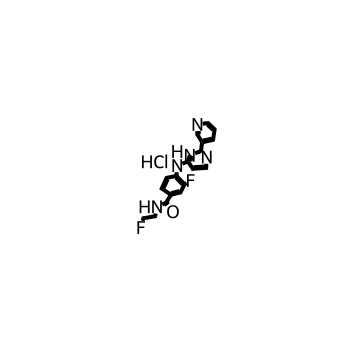 Cl.O=C(NCCF)c1ccc(Nc2ccnc(-c3cccnc3)n2)c(F)c1